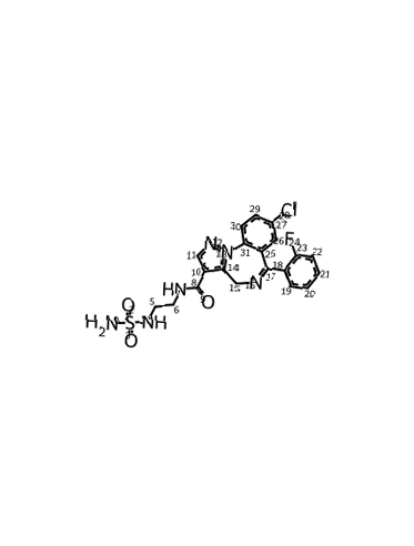 NS(=O)(=O)NCCNC(=O)c1cnn2c1CN=C(c1ccccc1F)c1cc(Cl)ccc1-2